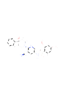 COc1ccc(S(=O)(=O)Nc2cnc(N3CCC(O)(c4ccccc4)CC3)c(C#N)c2)c(OC)c1